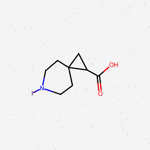 O=C(O)C1CC12CCN(I)CC2